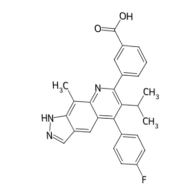 Cc1c2nc(-c3cccc(C(=O)O)c3)c(C(C)C)c(-c3ccc(F)cc3)c2cc2cn[nH]c12